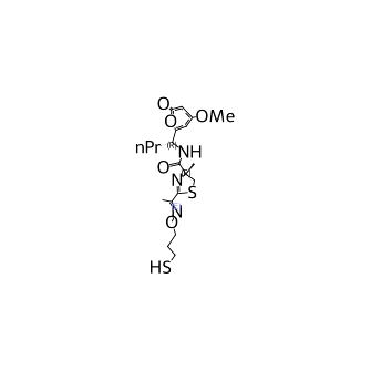 CCC[C@@H](NC(=O)[C@]1(C)CSC(/C(C)=N/OCCCS)=N1)c1cc(OC)cc(=O)o1